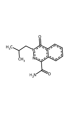 CC(C)Cn1nc(C(N)=O)c2ccccc2c1=O